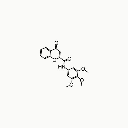 COc1cc(NC(=O)c2cc(=O)c3ccccc3o2)cc(OC)c1OC